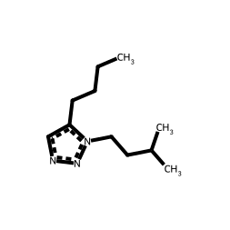 CCCCc1cnnn1CCC(C)C